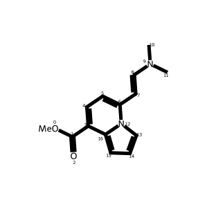 COC(=O)c1ccc(C=CN(C)C)n2cccc12